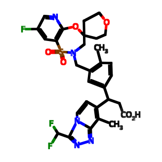 Cc1ccc(C(CC(=O)O)c2ccn3c(C(F)F)nnc3c2C)cc1CN1CC2(CCOCC2)Oc2ncc(F)cc2S1(=O)=O